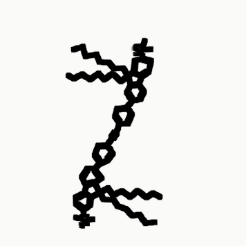 CCCCCCCCC1(CCCCCCCC)c2cc(-c3ccc(C#Cc4ccc(-c5ccc6c(c5)C(CCCCCCCC)(CCCCCCCC)c5cc([Si](C)(C)C)ccc5-6)cc4)cc3)ccc2-c2ccc([Si](C)(C)C)cc21